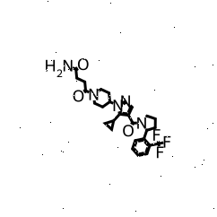 NC(=O)CCC(=O)N1CCC(n2ncc(C(=O)N3CCCC3c3ccccc3C(F)(F)F)c2C2CC2)CC1